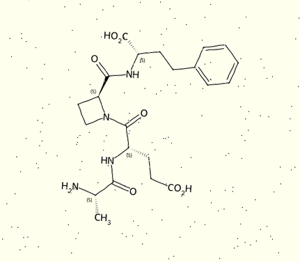 C[C@H](N)C(=O)N[C@@H](CCC(=O)O)C(=O)N1CC[C@H]1C(=O)N[C@@H](CCc1ccccc1)C(=O)O